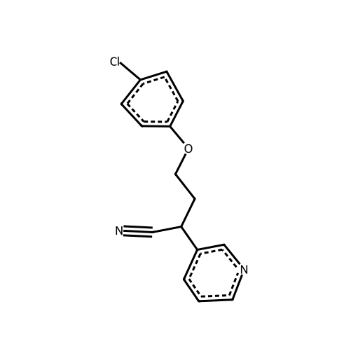 N#CC(CCOc1ccc(Cl)cc1)c1cccnc1